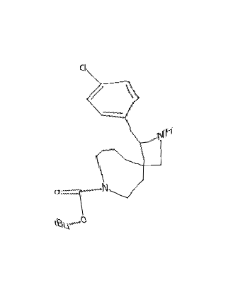 CC(C)(C)OC(=O)N1CCC2(CC1)CNC2c1ccc(Cl)cc1